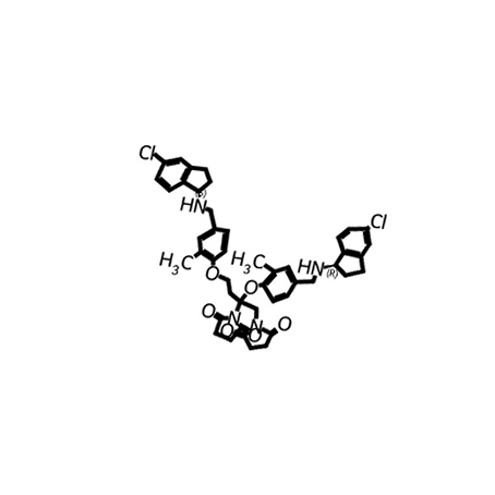 Cc1cc(CN[C@H]2CCc3cc(Cl)ccc32)ccc1OCCC(CN1C(=O)CCC1=O)(Oc1ccc(CN[C@@H]2CCc3cc(Cl)ccc32)cc1C)N1C(=O)CCC1=O